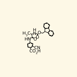 CC(NC(=O)OCC1c2ccccc2-c2ccccc21)C(=O)Nc1ccc(C(=O)O)c(C#N)c1